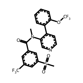 CN(C(=O)c1cc(C(F)(F)F)cc(S(C)(=O)=O)c1)c1cnccc1-c1ccccc1OC(F)(F)F